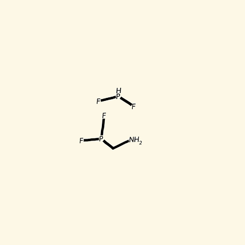 FPF.NCP(F)F